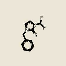 FC(F)n1ccn(Cc2ccccc2)c1=S